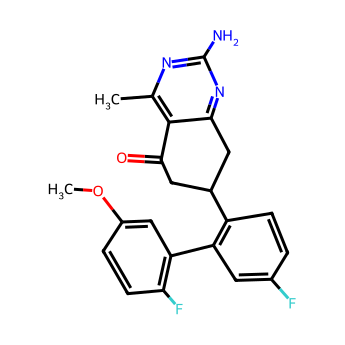 COc1ccc(F)c(-c2cc(F)ccc2C2CC(=O)c3c(C)nc(N)nc3C2)c1